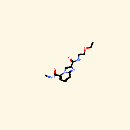 CCOCCNC(=O)c1cn2c(C(=O)NC)cccc2n1